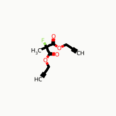 C#CCOC(=O)C(C)(F)C(=O)OCC#C